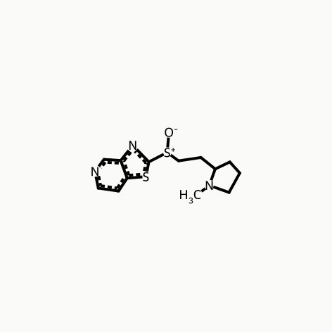 CN1CCCC1CC[S+]([O-])c1nc2cnccc2s1